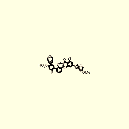 CO[C@@H]1COC2(C1)CN(c1cc(Cl)c(C(=O)N3COc4c(cccc4-c4cc(N5C6CCC5COC6)c(C(=O)O)cc4F)C3)c(Cl)c1)C2